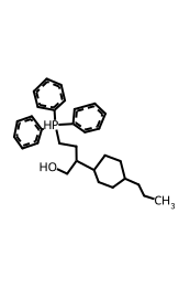 CCCC1CCC(C(CO)CC[PH](c2ccccc2)(c2ccccc2)c2ccccc2)CC1